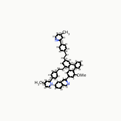 COc1cc(-c2cc3ccccc3cn2)ccc1-c1ccccc1-c1cc(CCc2ccc(-c3cc(C)ccn3)cc2)cc(CCc2ccc(-c3cc(C)ccn3)cc2)c1